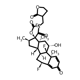 CCC(=O)O[C@]1(C(=O)SCC2CCOC2=O)[C@H](C)C[C@H]2[C@@H]3C[C@H](F)C4=CC(=O)C=C[C@]4(C)[C@@]3(F)[C@@H](O)C[C@@]21C